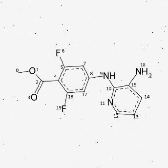 COC(=O)c1c(F)cc(Nc2ncccc2N)cc1F